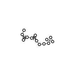 c1ccc(-c2cccc(-n3c4ccccc4c4cc(-c5ccc6c(c5)c5ccccc5n6-c5ccc(-c6cccc(-c7ccc(-c8cccc(C9(c%10ccccc%10)c%10ccccc%10-c%10ccccc%109)c8)cc7)c6)cc5)ccc43)c2)cc1